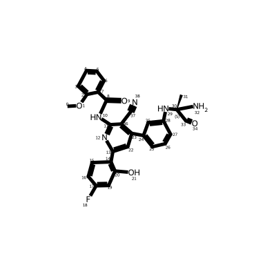 COc1ccccc1C(=O)Nc1nc(-c2ccc(F)cc2O)cc(-c2cccc(N[C@](C)(N)C=O)c2)c1C#N